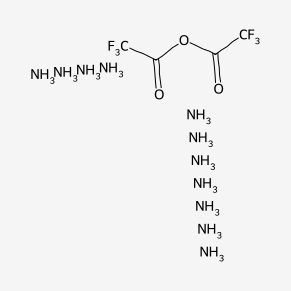 N.N.N.N.N.N.N.N.N.N.N.O=C(OC(=O)C(F)(F)F)C(F)(F)F